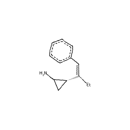 CCC(=Cc1ccccc1)[C@@H]1CC1N